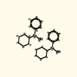 [OH][Cu]([c]1ccccc1)[CH]1CCCCC1.[OH][Cu]([c]1ccccc1)[CH]1CCCCC1